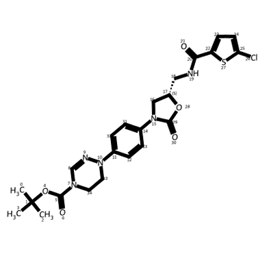 CC(C)(C)OC(=O)N1C=NN(c2ccc(N3C[C@H](CNC(=O)c4ccc(Cl)s4)OC3=O)cc2)CC1